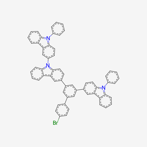 Brc1ccc(-c2cc(-c3ccc4c(c3)c3ccccc3n4-c3ccccc3)cc(-c3ccc4c(c3)c3ccccc3n4-c3ccc4c(c3)c3ccccc3n4-c3ccccc3)c2)cc1